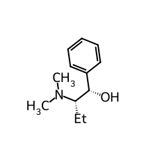 CC[C@@H]([C@@H](O)c1ccccc1)N(C)C